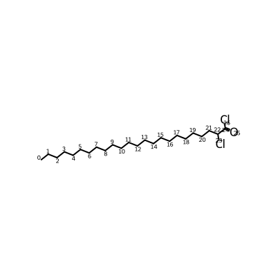 CCCCCCCCCCCCCCCCCCCCCCC(Cl)C(=O)Cl